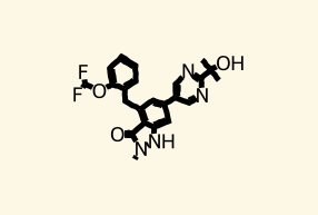 Cn1[nH]c2cc(-c3cnc(C(C)(C)O)nc3)cc(Cc3ccccc3OC(F)F)c2c1=O